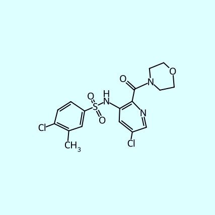 Cc1cc(S(=O)(=O)Nc2cc(Cl)cnc2C(=O)N2CCOCC2)ccc1Cl